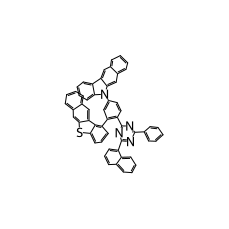 c1ccc(-c2nc(-c3ccc(-n4c5ccccc5c5cc6ccccc6cc54)cc3-c3cccc4sc5cc6ccccc6cc5c34)nc(-c3cccc4ccccc34)n2)cc1